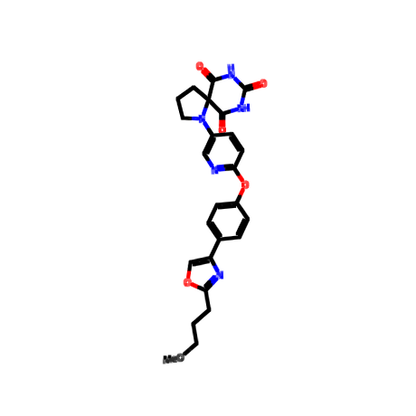 COCCCc1nc(-c2ccc(Oc3ccc(N4CCCC45C(=O)NC(=O)NC5=O)cn3)cc2)co1